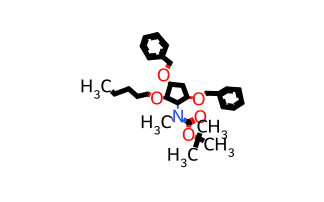 CCCCCO[C@@H]1[C@@H](N(C)C(=O)OC(C)(C)C)[C@H](OCc2ccccc2)C[C@@H]1OCc1ccccc1